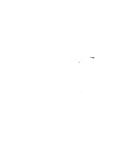 CCN[C@H]1C[C@@]2(O)[C@H]3Cc4ccc(O)cc4C2(CCN3C)C[C@H]1O